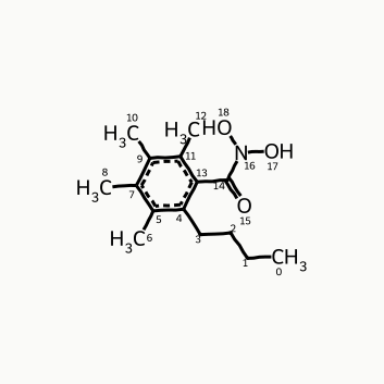 CCCCc1c(C)c(C)c(C)c(C)c1C(=O)N(O)O